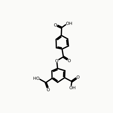 O=C(O)c1ccc(C(=O)Oc2cc(C(=O)O)cc(C(=O)O)c2)cc1